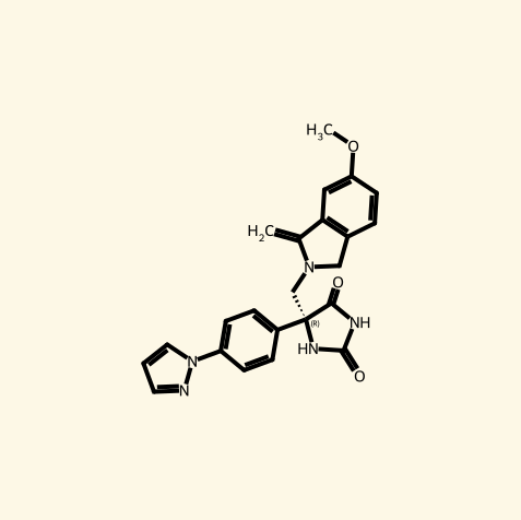 C=C1c2cc(OC)ccc2CN1C[C@@]1(c2ccc(-n3cccn3)cc2)NC(=O)NC1=O